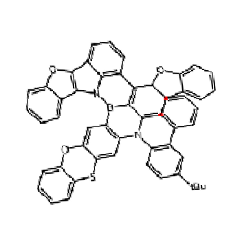 CC(C)(C)c1ccc(N2C3=CC4c5ccccc5OC4C4=C3B(c3cc5c(cc32)Sc2ccccc2O5)n2c3c4cccc3c3oc4ccccc4c32)c(-c2ccccc2)c1